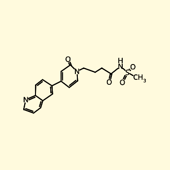 CS(=O)(=O)NC(=O)CCCn1ccc(-c2ccc3ncccc3c2)cc1=O